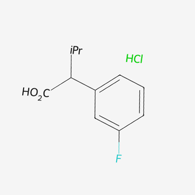 CC(C)C(C(=O)O)c1cccc(F)c1.Cl